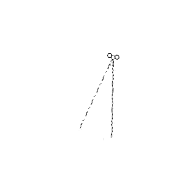 CCCOCCOCCOCCOCCOCCOCCOCCOCCOCCOCCOCCOCC1(COCCOCCOCCOCCOCCOCCOCCOCCOCCOCCOCCOCCC)c2ccccc2-c2ccccc21